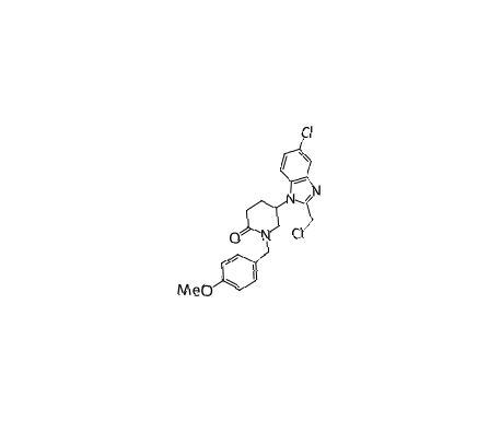 COc1ccc(CN2CC(n3c(CCl)nc4cc(Cl)ccc43)CCC2=O)cc1